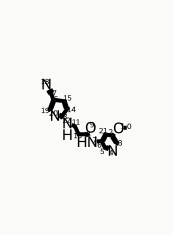 COc1cncc(NC(=O)CCNc2ccc(C#N)cn2)c1